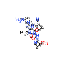 Cn1c(=O)n(CC(=O)Nc2ncccc2O)c(=O)c2c1nc(N1CCCC(N)C1)n2Cc1ccccc1C#N